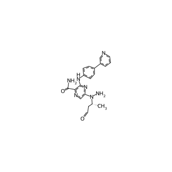 C[C@H](CC=O)N(N)c1cnc(C(N)=O)c(Nc2ccc(-c3cccnc3)cc2)n1